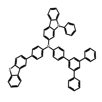 c1ccc(-c2cc(-c3ccccc3)cc(-c3ccc(N(c4ccc(-c5ccc6sc7ccccc7c6c5)cc4)c4ccc5c6ccccc6n(-c6ccccc6)c5c4)cc3)c2)cc1